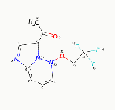 CC(=O)C1C=NC2=CC=CN(OCC(F)(F)F)N21